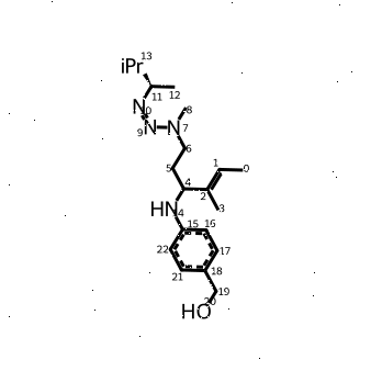 C/C=C(\C)C(CCN(C)/N=N\[C@H](C)C(C)C)Nc1ccc(CO)cc1